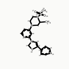 CC1CN(c2ccnc(N3C=C(c4ccncc4)SC3)c2)CCN1S(C)(=O)=O